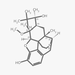 CO[C@@]1(C)[C@@H]2Oc3c(O)ccc4c3C23CCN[C@H](C4)[C@@]3(C)C[C@@H]1[C@](C)(O)C(C)(C)C